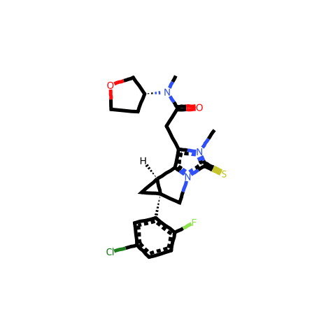 CN(C(=O)Cc1c2n(c(=S)n1C)C[C@@]1(c3cc(Cl)ccc3F)C[C@@H]21)[C@@H]1CCOC1